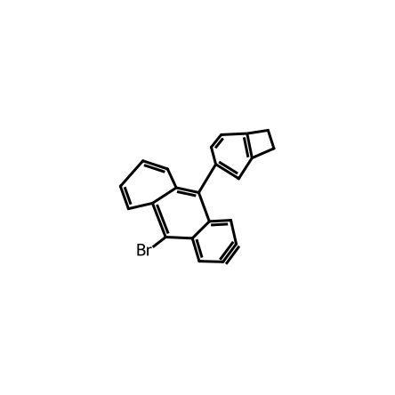 Brc1c2cc#ccc2c(-c2ccc3c(c2)CC3)c2ccccc12